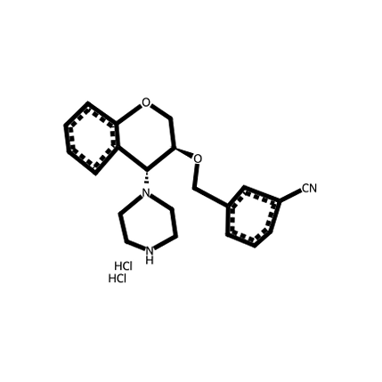 Cl.Cl.N#Cc1cccc(CO[C@@H]2COc3ccccc3[C@H]2N2CCNCC2)c1